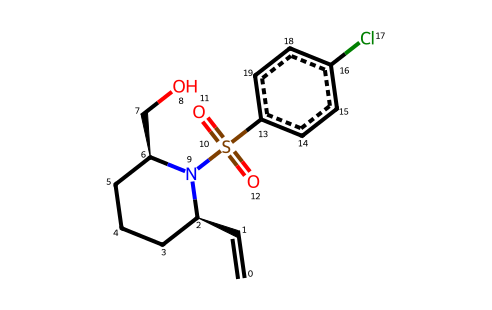 C=C[C@H]1CCC[C@@H](CO)N1S(=O)(=O)c1ccc(Cl)cc1